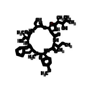 CC[C@H](C)[C@H]1NC(=O)[C@@H](NC(=O)[C@H](C)[C@H](O)C(C)C)[C@@H](C)OC(=O)[C@H](CO)NC(=O)[C@@H]([C@@H](C)O)NC(=O)[C@H](Cc2ccccc2)N(C)C(=O)[C@H](c2ccc(OC)cc2)NC1=O